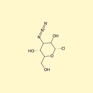 [N-]=[N+]=NC1C(O)[C@H](Cl)OC(CO)[C@@H]1O